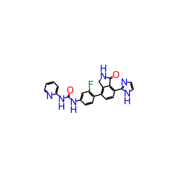 O=C(Nc1ccc(-c2ccc(-c3ncc[nH]3)c3c2CNC3=O)c(F)c1)Nc1ccccn1